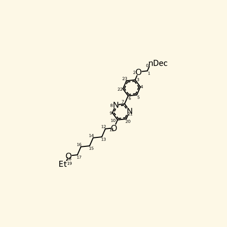 CCCCCCCCCCCOc1ccc(-c2ncc(OCCCCCCOCC)cn2)cc1